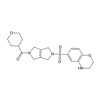 O=C(C1CCOCC1)N1CC2=C(C1)CN(S(=O)(=O)c1ccc3c(c1)NCCO3)C2